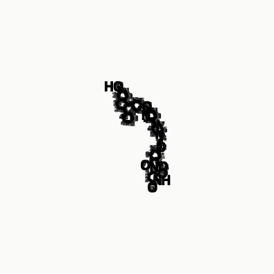 O=C1CCC(N2C(=O)c3ccc(OCCN4CCN(c5ccc(Oc6ccc(C7c8ccc(O)cc8CCC7c7ccccc7)cc6)nc5)CC4)cc3C2=O)C(=O)N1